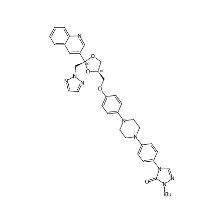 CCC(C)n1ncn(-c2ccc(N3CCN(c4ccc(OC[C@@H]5CO[C@@](Cn6nccn6)(c6cnc7ccccc7c6)O5)cc4)CC3)cc2)c1=O